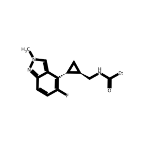 CCC(=O)NC[C@@H]1C[C@H]1c1c(F)ccc2nn(C)cc12